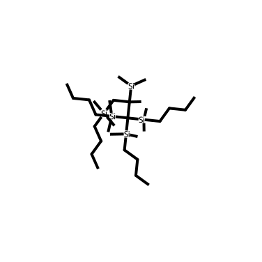 CCCC[Si](C)(C)CC(C)([Si](C)C)C([Si](C)(C)CCCC)([Si](C)(C)CCCC)[Si](C)(C)CCCC